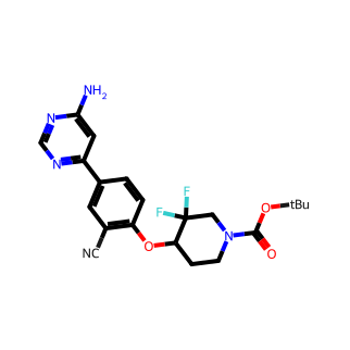 CC(C)(C)OC(=O)N1CCC(Oc2ccc(-c3cc(N)ncn3)cc2C#N)C(F)(F)C1